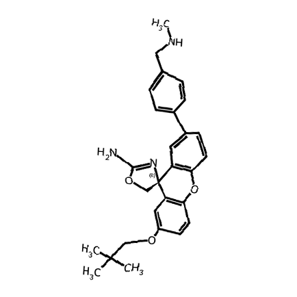 CNCc1ccc(-c2ccc3c(c2)[C@]2(COC(N)=N2)c2cc(OCC(C)(C)C)ccc2O3)cc1